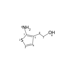 Nc1sccc1CCO